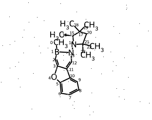 CB1C=c2oc3ccccc3c2=CN1N1[C@@H](C)C(C)(C)CC1(C)C